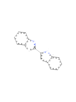 c1ccc2[se]c(-c3nc4ccccc4[se]3)nc2c1